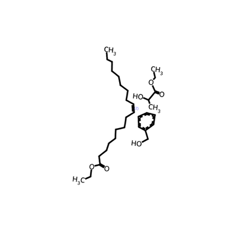 CCCCCCCC/C=C\CCCCCCCC(=O)OCC.CCOC(=O)C(C)O.OCc1ccccc1